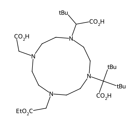 CCOC(=O)CN1CCN(CC(=O)O)CCN(C(C(=O)O)C(C)(C)C)CCN(C(C(=O)O)(C(C)(C)C)C(C)(C)C)CC1